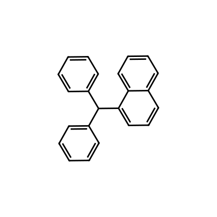 c1ccc(C(c2ccccc2)c2cccc3ccccc23)cc1